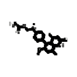 COc1cc(C)c2[nH]c(=O)cc(C)c2c1-c1ccc([C@@H](C)COC(N)=O)cc1